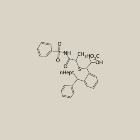 CCCCCCCC(c1ccccc1)c1ccccc1C(SC(C)C(=O)NS(=O)(=O)c1ccccc1)C(O)C(=O)O